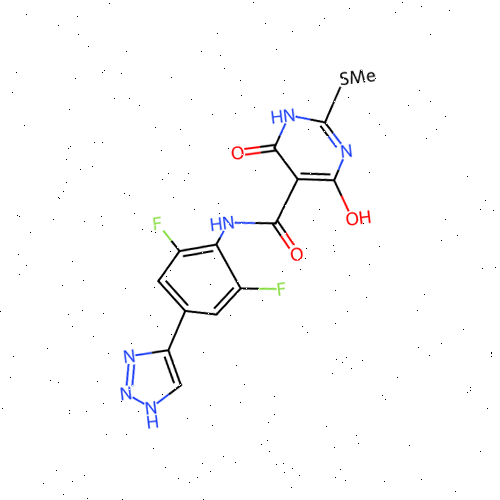 CSc1nc(O)c(C(=O)Nc2c(F)cc(-c3c[nH]nn3)cc2F)c(=O)[nH]1